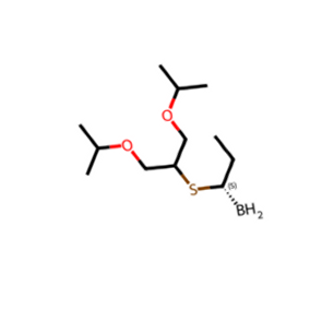 B[C@@H](CC)SC(COC(C)C)COC(C)C